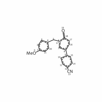 COc1ccc(Cn2cc(-c3ccc(C#N)cc3)ccc2=O)cc1